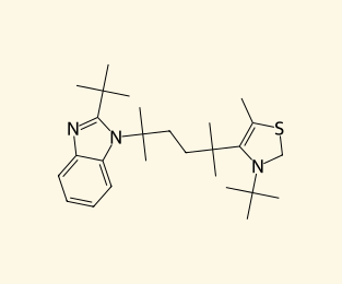 CC1=C(C(C)(C)CCC(C)(C)n2c(C(C)(C)C)nc3ccccc32)N(C(C)(C)C)CS1